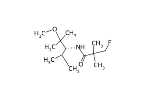 COC(C)(C)[C@H](NC(=O)C(C)(C)CF)C(C)C